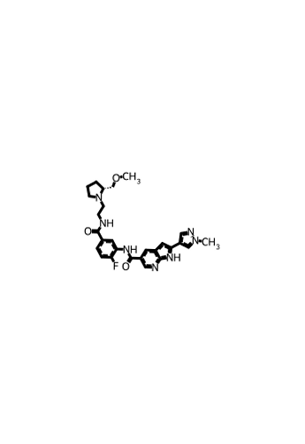 COC[C@H]1CCCN1CCNC(=O)c1ccc(F)c(NC(=O)c2cnc3[nH]c(-c4cnn(C)c4)cc3c2)c1